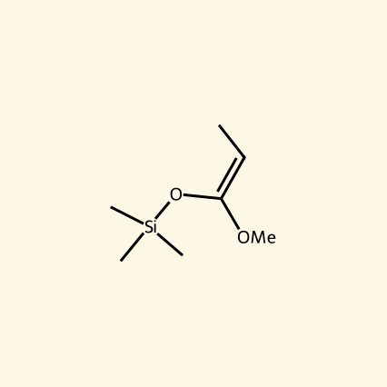 C/C=C(/OC)O[Si](C)(C)C